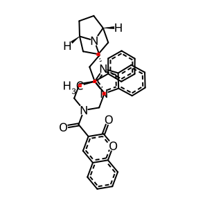 Cc1nc2ccccc2n1[C@H]1C[C@H]2CC[C@@H](C1)N2CCC1(c2ccccc2)CCN(C(=O)c2cc3ccccc3oc2=O)CC1